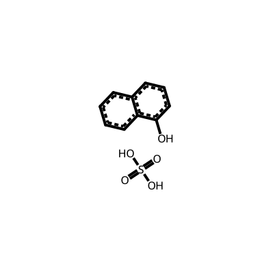 O=S(=O)(O)O.Oc1cccc2ccccc12